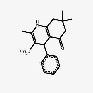 CCOC(=O)C1=C(C)NC2=C(C(=O)CC(C)(C)C2)C1c1ccccc1